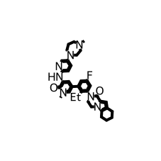 CCc1c(-c2cc(Nc3ccc(N4CCCN(C)CC4)cn3)c(=O)n(C)c2)cc(F)cc1N1CCn2c(cc3c2CCCC3)C1=O